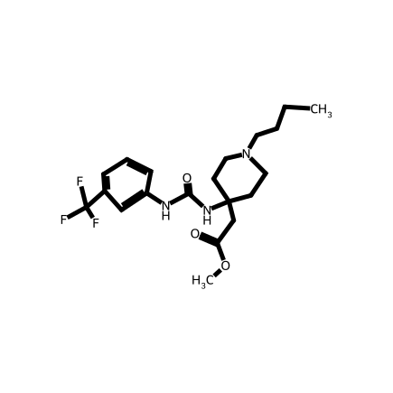 CCCCN1CCC(CC(=O)OC)(NC(=O)Nc2cccc(C(F)(F)F)c2)CC1